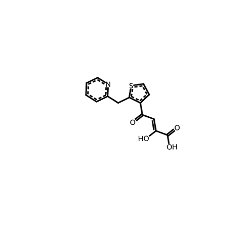 O=C(O)C(O)=CC(=O)c1ccsc1Cc1ccccn1